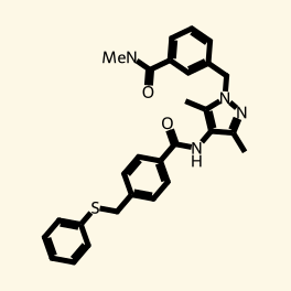 CNC(=O)c1cccc(Cn2nc(C)c(NC(=O)c3ccc(CSc4ccccc4)cc3)c2C)c1